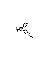 N#CCOc1ccc(-c2cc(C(F)(F)F)nn2-c2ccc(Cl)cc2)cc1